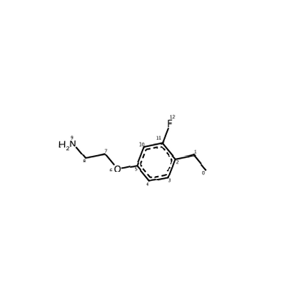 CCc1ccc(OCCN)cc1F